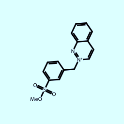 COS(=O)(=O)c1cccc(C[n+]2ccc3ccccc3n2)c1